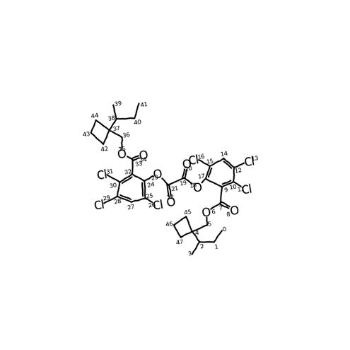 CCC(C)C1(COC(=O)c2c(Cl)c(Cl)cc(Cl)c2OC(=O)C(=O)Oc2c(Cl)cc(Cl)c(Cl)c2C(=O)OCC2(C(C)CC)CCC2)CCC1